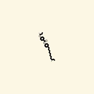 CC[C@H](C)CCCCCCCCc1ccc(OC(=O)c2ccc(O[C@H](C)CC)cc2)cc1